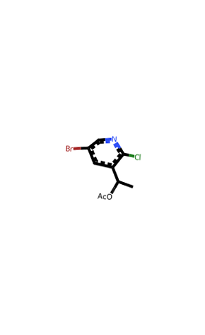 CC(=O)OC(C)c1cc(Br)cnc1Cl